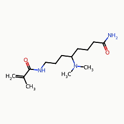 C=C(C)C(=O)NCCCC(CCCC(N)=O)N(C)C